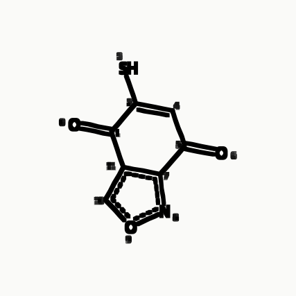 O=C1C(S)=CC(=O)c2nocc21